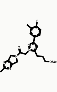 COCCCc1cc(-c2ccc(F)c(C)c2)nn1CC(=O)N1Cc2nc(C)sc2C1